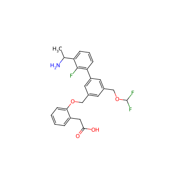 CC(N)c1cccc(-c2cc(COc3ccccc3CC(=O)O)cc(COC(F)F)c2)c1F